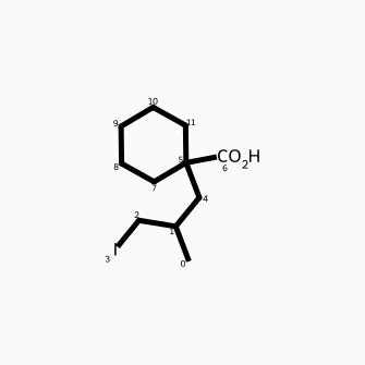 CC(CI)CC1(C(=O)O)CCCCC1